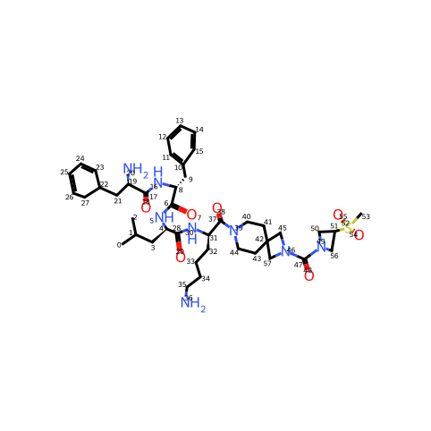 CC(C)C[C@@H](NC(=O)[C@@H](Cc1ccccc1)NC(=O)[C@H](N)CC1C=CC=CC1)C(=O)N[C@H](CCCCN)C(=O)N1CCC2(CC1)CN(C(=O)N1CC(S(C)(=O)=O)C1)C2